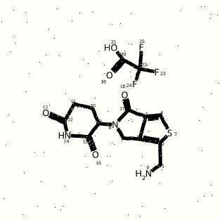 NCc1scc2c1CN(C1CCC(=O)NC1=O)C2=O.O=C(O)C(F)(F)F